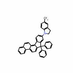 FC(F)(F)c1ccc2c(c1)CCN2c1ccc2c(c1)C(c1ccccc1)(c1ccccc1)c1ccc3c(ccc4ccccc43)c1-2